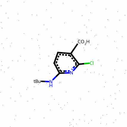 CC(C)(C)Nc1ccc(C(=O)O)c(Cl)n1